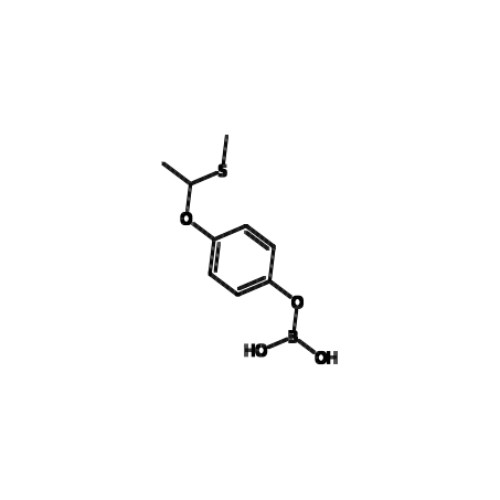 CSC(C)Oc1ccc(OB(O)O)cc1